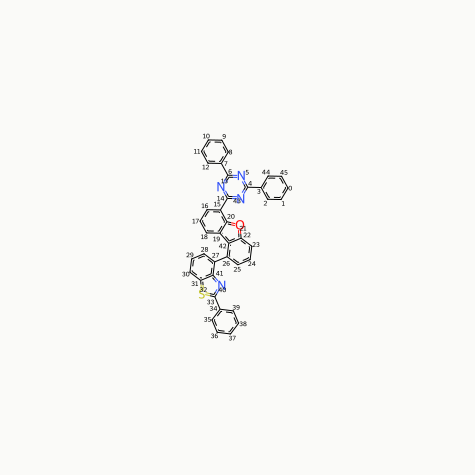 c1ccc(-c2nc(-c3ccccc3)nc(-c3cccc4c3oc3cccc(-c5cccc6sc(-c7ccccc7)nc56)c34)n2)cc1